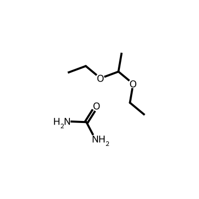 CCOC(C)OCC.NC(N)=O